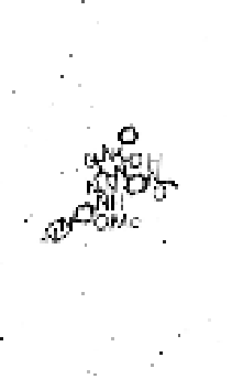 C=CC(=O)Nc1cccc(N2C(=O)C(c3ccccc3)N(C)C(=O)c3cnc(Nc4ccc(N5CCN(C)CC5)cc4OC)nc32)c1